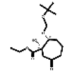 CCOC(=O)[C@]1(O)CC(=O)CCC[C@H]1OCOC(C)(C)C